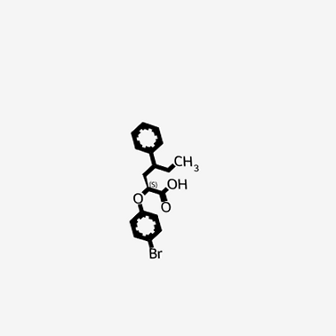 CCC(C[C@H](Oc1ccc(Br)cc1)C(=O)O)c1ccccc1